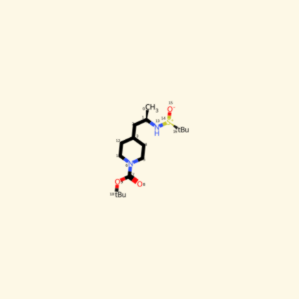 C[C@H](CC1CCN(C(=O)OC(C)(C)C)CC1)N[S@@+]([O-])C(C)(C)C